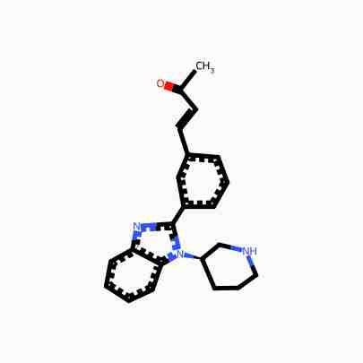 CC(=O)/C=C/c1cccc(-c2nc3ccccc3n2[C@@H]2CCCNC2)c1